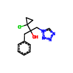 OC(Cc1ccccc1)(Cn1cnnn1)C1(Cl)CC1